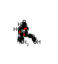 Nc1ncnc2c1ncn2[C@@H]1O[C@@H]2COP(=O)(O)O[C@@H]3[C@H](F)[C@@H](COP(=O)(SCc4ccc(Oc5ccc(O)cc5)cc4)O[C@@H]1[C@@H]2F)O[C@H]3n1ccc(=O)[nH]c1=O